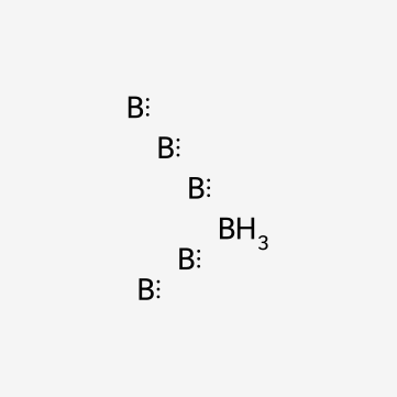 B.[B].[B].[B].[B].[B]